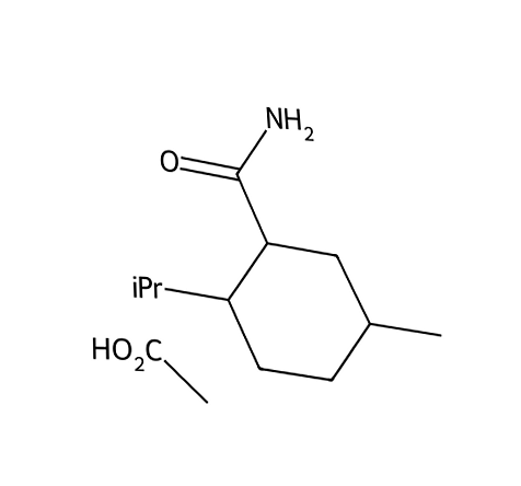 CC(=O)O.CC1CCC(C(C)C)C(C(N)=O)C1